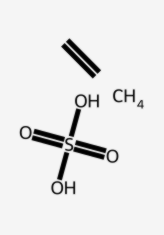 C.C=C.O=S(=O)(O)O